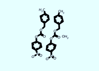 Cc1ccc(COC(=O)Oc2ccc([N+](=O)[O-])cc2)cc1.Cc1ccc(COC(=O)Oc2ccc([N+](=O)[O-])cc2)cc1.O